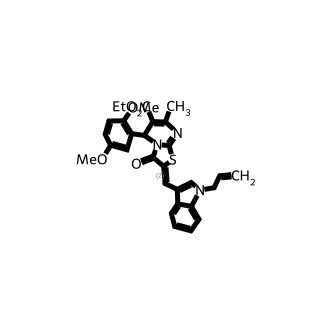 C=CCn1cc(/C=c2\sc3n(c2=O)C(c2cc(OC)ccc2OC)C(C(=O)OCC)=C(C)N=3)c2ccccc21